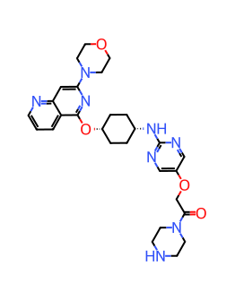 O=C(COc1cnc(N[C@H]2CC[C@@H](Oc3nc(N4CCOCC4)cc4ncccc34)CC2)nc1)N1CCNCC1